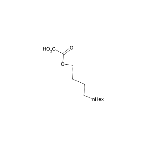 CCCCCCCCCCOC(=O)C(=O)O